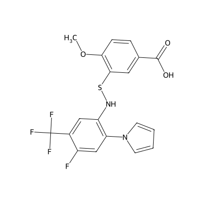 COc1ccc(C(=O)O)cc1SNc1cc(C(F)(F)F)c(F)cc1-n1cccc1